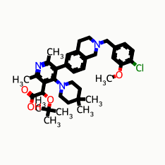 COc1cc(CN2CCc3cc(-c4c(C)nc(C)c(C(OC(C)(C)C)C(=O)O)c4N4CCC(C)(C)CC4)ccc3C2)ccc1Cl